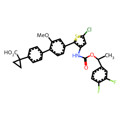 COc1cc(-c2sc(Cl)cc2NC(=O)OC(C)c2ccc(F)c(F)c2)ccc1-c1ccc(C2(C(=O)O)CC2)cc1